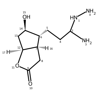 NNC(N)CC[C@@H]1[C@H]2CC(=O)O[C@H]2C[C@H]1O